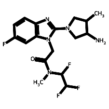 CC1CN(c2nc3ccc(F)cc3n2CC(=O)N(C)C(F)C(F)F)CC1N